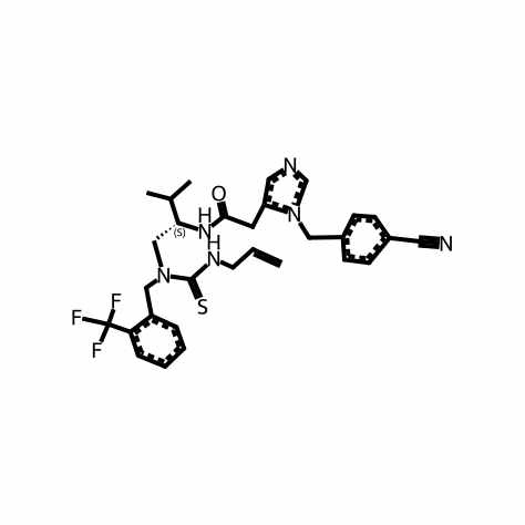 C=CCNC(=S)N(Cc1ccccc1C(F)(F)F)C[C@@H](NC(=O)Cc1cncn1Cc1ccc(C#N)cc1)C(C)C